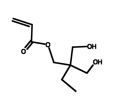 C=CC(=O)OCC(CC)(CO)CO